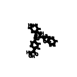 O=C(NO)c1ccc(C#CC2(NC(=O)c3cc4c(o3)C=CCC4)CCNCC2)cc1